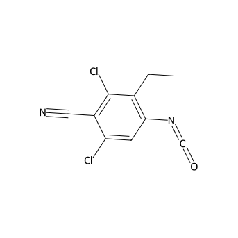 CCc1c(N=C=O)cc(Cl)c(C#N)c1Cl